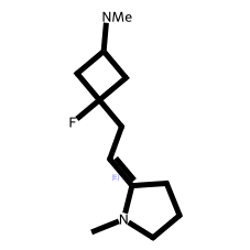 CNC1CC(F)(C/C=C2\CCCN2C)C1